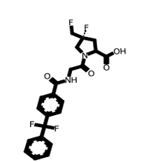 O=C(NCC(=O)N1C[C@@](F)(CF)CC1C(=O)O)c1ccc(C(F)(F)c2ccccc2)cc1